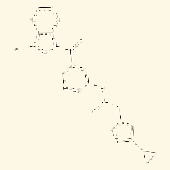 CC(C)(C)n1cc(C(=O)c2cncc(NC(=O)Cn3cc(C4CC4)cn3)c2)c2cncnc21